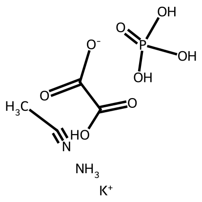 CC#N.N.O=C([O-])C(=O)O.O=P(O)(O)O.[K+]